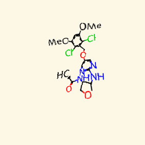 C#CC(=O)NC1COCC1Nc1ncc(OCc2c(Cl)c(OC)cc(OC)c2Cl)cn1